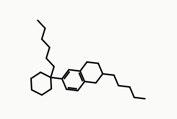 CCCCCCC1(c2ccc3c(c2)CCC(CCCCC)C3)CCCCC1